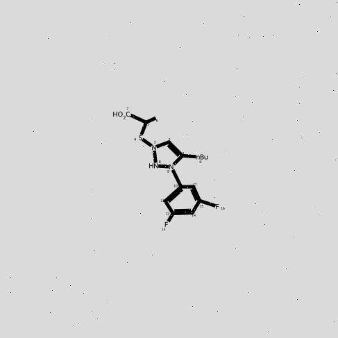 CCCCC1=CN(SC(C)C(=O)O)NN1c1cc(F)cc(F)c1